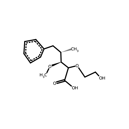 CO[C@H](C(OCCO)C(=O)O)[C@@H](C)Cc1ccccc1